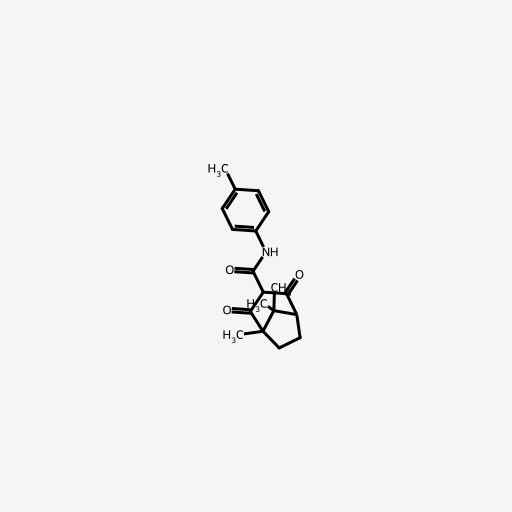 Cc1ccc(NC(=O)C2C(=O)C3CCC(C)(C2=O)C3(C)C)cc1